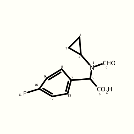 O=CN(C1CC1)C(C(=O)O)c1ccc(F)cc1